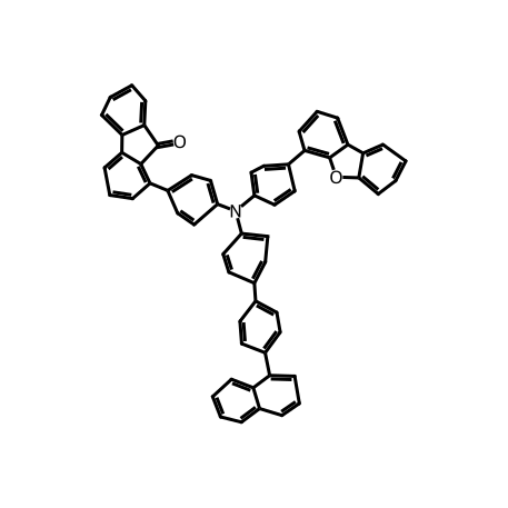 O=C1c2ccccc2-c2cccc(-c3ccc(N(c4ccc(-c5ccc(-c6cccc7ccccc67)cc5)cc4)c4ccc(-c5cccc6c5oc5ccccc56)cc4)cc3)c21